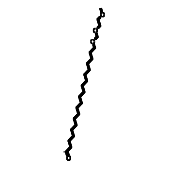 COCCOCOCCCCCCCCCCCCCCCCCCC[C]=O